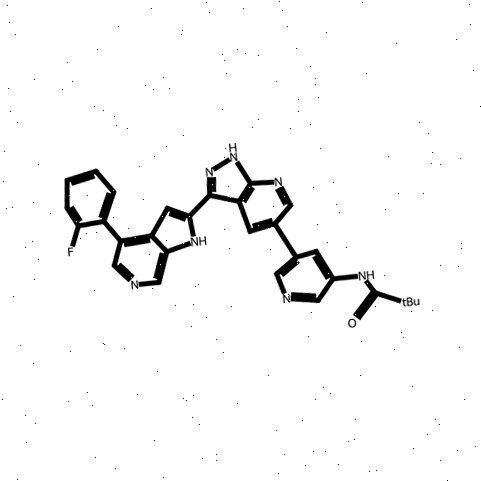 CC(C)(C)C(=O)Nc1cncc(-c2cnc3[nH]nc(-c4cc5c(-c6ccccc6F)cncc5[nH]4)c3c2)c1